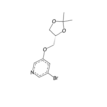 CC1(C)OC[C@@H](COc2cncc(Br)c2)O1